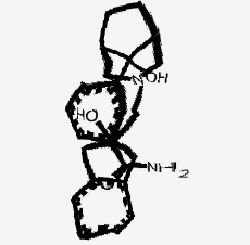 NC(=O)c1cccc(C2(O)C3CCC2CN(CC2(O)Cc4ccccc4C2)C3)c1